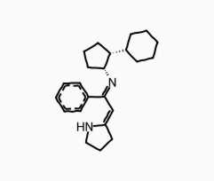 C(=C1CCCN1)C(=N[C@@H]1CCC[C@@H]1C1CCCCC1)c1ccccc1